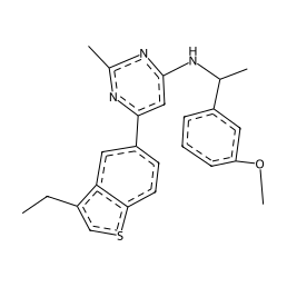 CCc1csc2ccc(-c3cc(NC(C)c4cccc(OC)c4)nc(C)n3)cc12